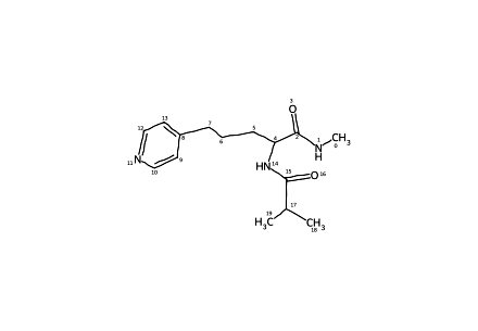 CNC(=O)C(CCCc1ccncc1)NC(=O)C(C)C